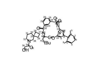 Cc1cccc(C)c1-c1cc2nc(n1)NS(=O)(=O)c1cccc(c1)C(=O)N([C@H]1C[C@@]3(CCCN(C(=O)CO)C3)C1)[C@H](CC(C)(C)C)CO2